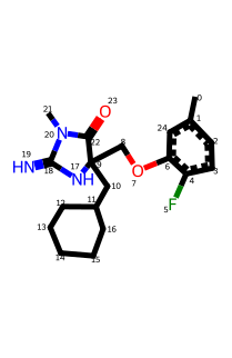 Cc1ccc(F)c(OCC2(CC3CCCCC3)NC(=N)N(C)C2=O)c1